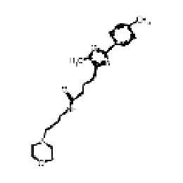 Cc1ccc(-c2nc(CCCC(=O)NCCCN3CCOCC3)c(C)o2)cc1